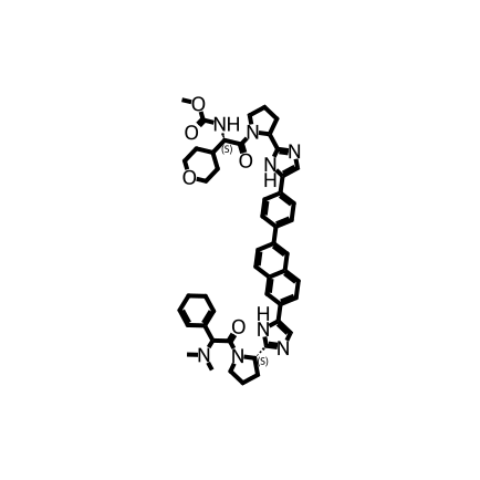 COC(=O)N[C@H](C(=O)N1CCCC1c1ncc(-c2ccc(-c3ccc4cc(-c5cnc([C@@H]6CCCN6C(=O)C(C6=CCCC=C6)N(C)C)[nH]5)ccc4c3)cc2)[nH]1)C1CCOCC1